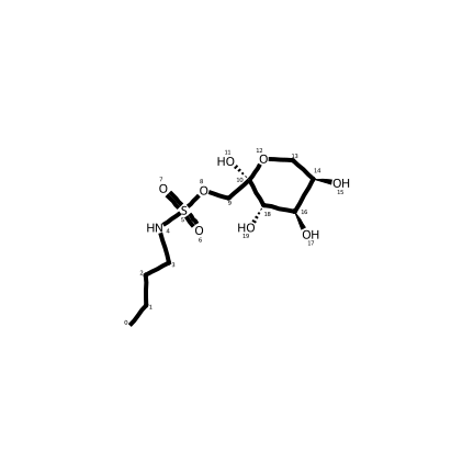 CCCCNS(=O)(=O)OC[C@@]1(O)OC[C@@H](O)[C@@H](O)[C@@H]1O